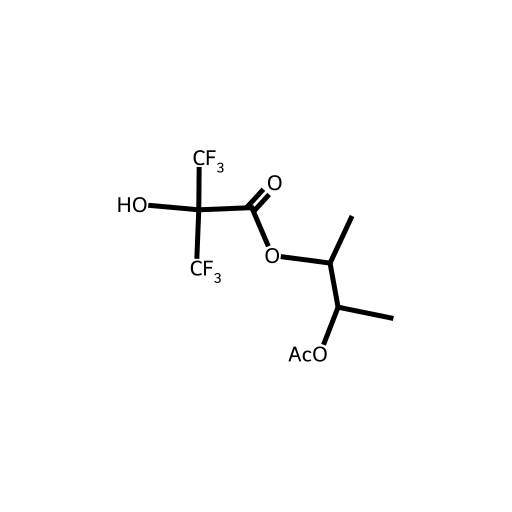 CC(=O)OC(C)C(C)OC(=O)C(O)(C(F)(F)F)C(F)(F)F